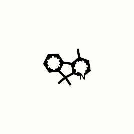 Cc1ccnc2c1-c1ccccc1C2(C)C